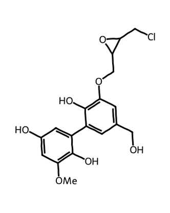 COc1cc(O)cc(-c2cc(CO)cc(OCC3OC3CCl)c2O)c1O